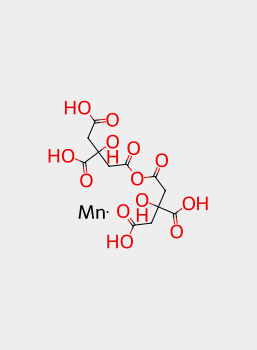 O=C(O)CC(O)(CC(=O)OC(=O)CC(O)(CC(=O)O)C(=O)O)C(=O)O.[Mn]